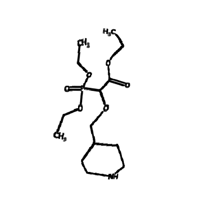 CCOC(=O)C(OCC1CCNCC1)P(=O)(OCC)OCC